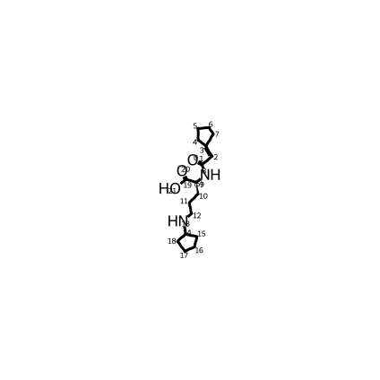 O=C(C=C1CCCC1)N[C@@H](CCCNC1CCCC1)C(=O)O